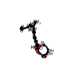 CO[C@H]1/C=C/O[C@@]2(C)Oc3c(C)c(O)c4c(=O)c(c5oc6cc(N7CCC(c8ccc(OCc9ccc(NC(=O)[C@H](CCCNC(N)=O)NC(=O)[C@@H](NC(=O)CCCCCN%10C(=O)C=CC%10=O)C(C)C)cc9)cc8)CC7)cc(O)c6nc-5c4c3C2=O)NC(=O)/C(C)=C\C=C\[C@H](C)[C@H](O)[C@@H](C)[C@@H](O)[C@@H](C)[C@H](OC(C)=O)[C@@H]1C